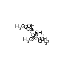 CCOc1ccc2c(Cc3cc(OC)c(OCC(CC)CC)c(OC)c3)cncc2c1O